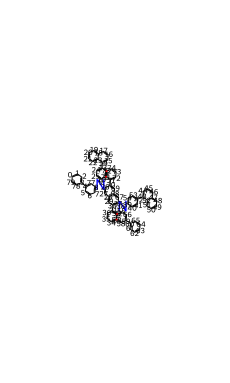 c1ccc(-c2cccc(N(c3ccc(-c4cccc5ccccc45)cc3)c3cc4cc(-c5ccccc5)c(N(c5ccc(-c6cccc7ccccc67)cc5)c5cccc(-c6ccccc6)c5)cc4cc3-c3ccccc3)c2)cc1